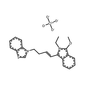 CCn1c(C=CCC[n+]2csc3ccccc32)c2ccccc2c1OC.[O-][Cl+3]([O-])([O-])[O-]